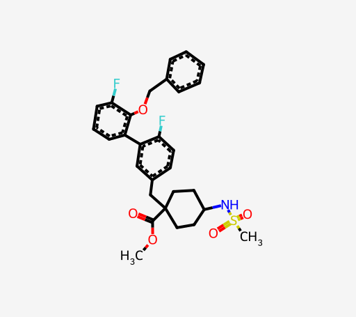 COC(=O)C1(Cc2ccc(F)c(-c3cccc(F)c3OCc3ccccc3)c2)CCC(NS(C)(=O)=O)CC1